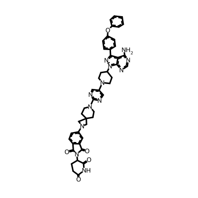 Nc1ncnc2c1c(-c1ccc(Oc3ccccc3)cc1)nn2C1CCN(c2cnc(N3CCC4(CC3)CN(c3ccc5c(c3)C(=O)N(C3CCC(=O)NC3=O)C5=O)C4)nc2)CC1